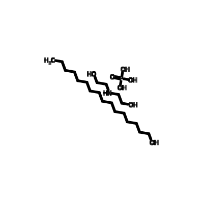 CCCCCCCCCCCCCCCCO.O=P(O)(O)O.OCCNCCO